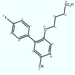 N#Cc1cc(-c2ccc(F)cc2)c(OCCCS(=O)(=O)O)cn1